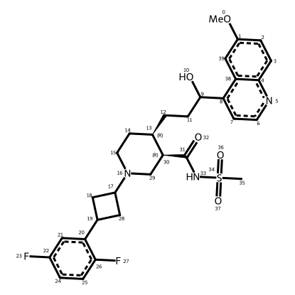 COc1ccc2nccc(C(O)CC[C@@H]3CCN(C4CC(c5cc(F)ccc5F)C4)C[C@@H]3C(=O)NS(C)(=O)=O)c2c1